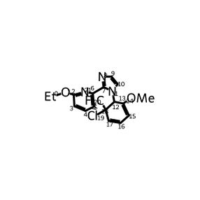 CCOc1cccc(-c2nccn2C2C(OC)=CC=CC2(Cl)C(F)(F)F)n1